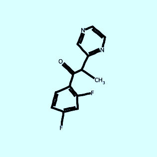 CC(C(=O)c1ccc(F)cc1F)c1cnccn1